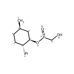 CC(C)[C@@H]1CC[C@@H](C)C[C@H]1O[PH](=O)CO